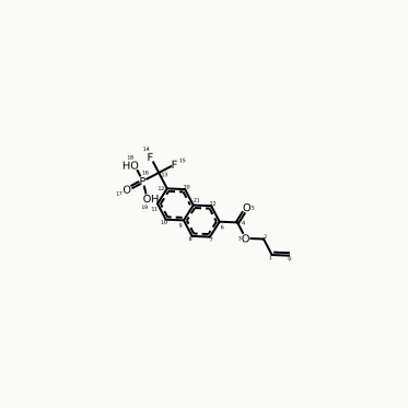 C=CCOC(=O)c1ccc2ccc(C(F)(F)P(=O)(O)O)cc2c1